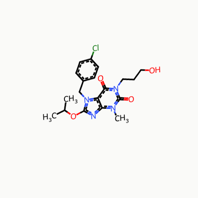 CC(C)Oc1nc2c(c(=O)n(CCCO)c(=O)n2C)n1Cc1ccc(Cl)cc1